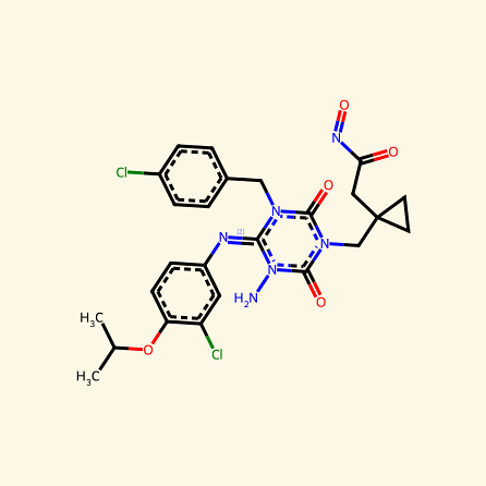 CC(C)Oc1ccc(/N=c2\n(N)c(=O)n(CC3(CC(=O)N=O)CC3)c(=O)n2Cc2ccc(Cl)cc2)cc1Cl